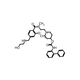 COc1cc(CNCCO)ccc1C(=O)N(C)CCN1CCC(OC(=O)Nc2ccccc2-c2ccccc2)CC1